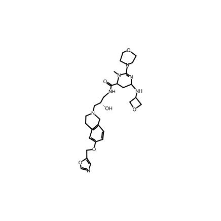 CN1C(N2CCOCC2)=NC(NC2COC2)CC1C(=O)NC[C@H](O)CN1CCc2cc(OCc3cnco3)ccc2C1